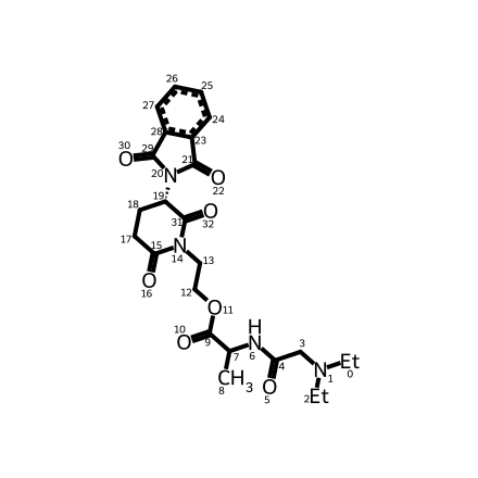 CCN(CC)CC(=O)NC(C)C(=O)OCCN1C(=O)CC[C@H](N2C(=O)c3ccccc3C2=O)C1=O